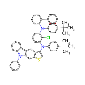 CC(C)(C)c1ccc(N(c2ccccc2-c2ccccc2)c2cccc(N(c3ccc(C(C)(C)C)cc3)c3csc4cc5c(cc34)c3ccccc3n5-c3ccccc3)c2Cl)cc1